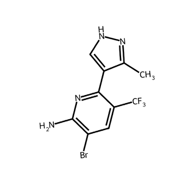 Cc1n[nH]cc1-c1nc(N)c(Br)cc1C(F)(F)F